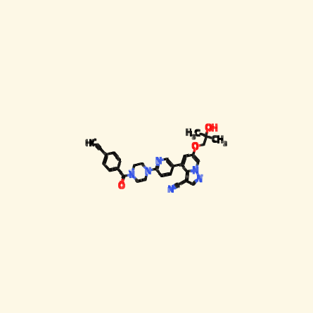 C#Cc1ccc(C(=O)N2CCN(c3ccc(-c4cc(OCC(C)(C)O)cn5ncc(C#N)c45)cn3)CC2)cc1